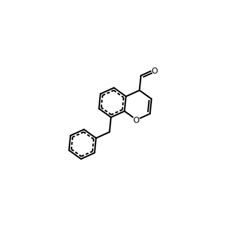 O=CC1C=COc2c(Cc3ccccc3)cccc21